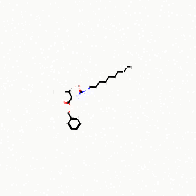 CCCCCCCCCCNC(=O)N[C@H](C(=O)OCc1ccccc1)C(C)C